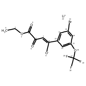 CCOC(=O)C(=O)C=C([O-])c1cc(Br)cc(OC(F)(F)F)c1.[Li+]